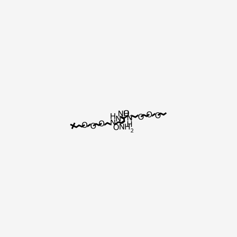 CCCOCCOCCOCCCNC(=O)c1cc(N)c(C(=O)NCCCOCCOCCOCCCC(C)(C)C)nc1N